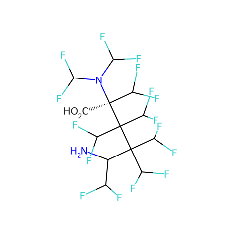 NC(C(F)F)C(C(F)F)(C(F)F)C(C(F)F)(C(F)F)[C@](C(=O)O)(C(F)F)N(C(F)F)C(F)F